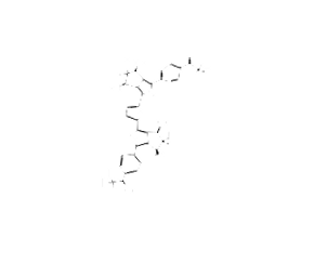 O=C(c1ccc(-c2sc(-c3ccc(-c4sc(-c5ccc(C(=O)C(F)(F)F)cc5)c5c4C(=O)C(F)(F)C5=O)s3)c3c2C(=O)C(F)(F)C3=O)cc1)C(F)(F)F